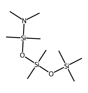 CN(C)[Si](C)(C)O[Si](C)(C)O[Si](C)(C)C